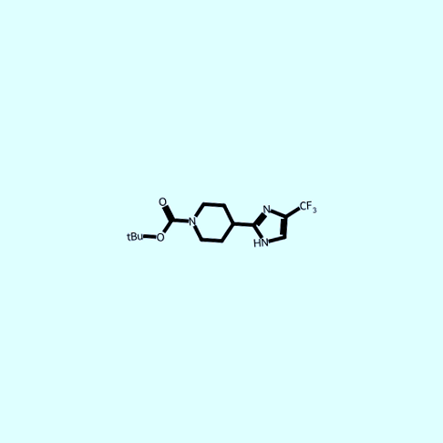 CC(C)(C)OC(=O)N1CCC(c2nc(C(F)(F)F)c[nH]2)CC1